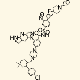 CC1(C)CCC(CN2CCN(c3ccc(C(=O)NS(=O)(=O)c4ccc(OCC5(F)CCN(C6COC6)CC5)c(N=O)c4)c(-n4ncc5nc6[nH]ccc6cc54)c3)CC2)=C(c2ccc(Cl)cc2)C1